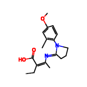 CCC(C(=O)O)=C(C)N=C1CCCN1c1ccc(OC)cc1C